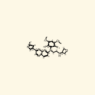 COc1cc(OC)c(F)c(N(CCNC2COC2)C2=NC3N=C(c4cnn(C)c4)C=NC3C=C2)c1F